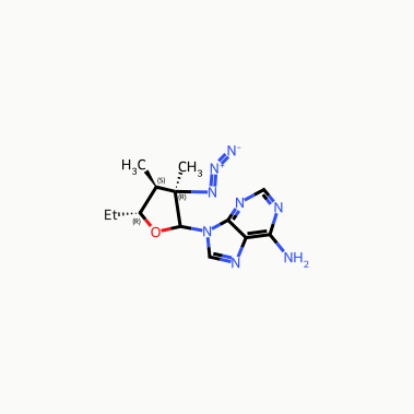 CC[C@H]1OC(n2cnc3c(N)ncnc32)[C@](C)(N=[N+]=[N-])[C@@H]1C